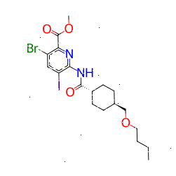 CCCCOC[C@H]1CC[C@H](C(=O)Nc2nc(C(=O)OC)c(Br)cc2I)CC1